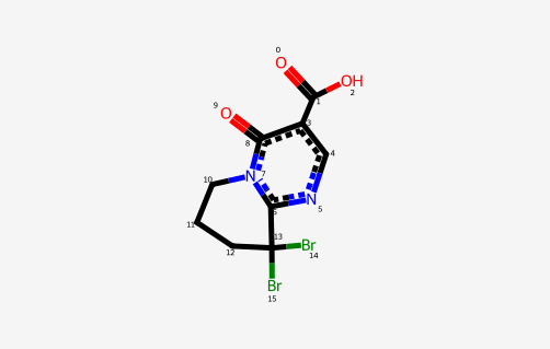 O=C(O)c1cnc2n(c1=O)CCCC2(Br)Br